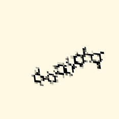 Cc1cc(C)nc(N(C)c2ccc(C(=O)Nc3ccc(N4CCC(N5CCCC5C)C4)cc3C)cc2)n1